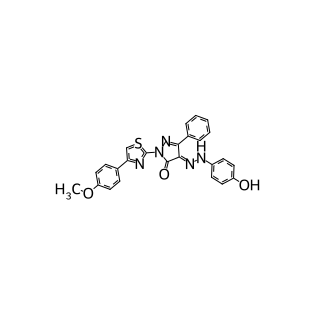 COc1ccc(-c2csc(N3N=C(c4ccccc4)/C(=N\Nc4ccc(O)cc4)C3=O)n2)cc1